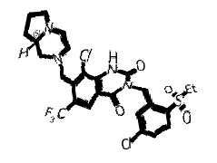 CCS(=O)(=O)c1ccc(Cl)cc1Cn1c(=O)[nH]c2c(Cl)c(CN3CCN4CCC[C@H]4C3)c(C(F)(F)F)cc2c1=O